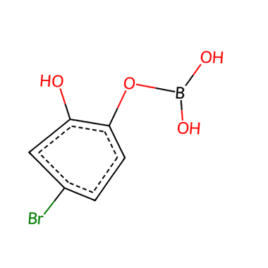 OB(O)Oc1ccc(Br)cc1O